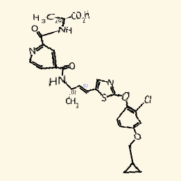 C[C@H](NC(=O)c1cc(C(=O)N[C@@H](C)/C=C/c2cnc(Oc3ccc(OCC4CC4)cc3Cl)s2)ccn1)C(=O)O